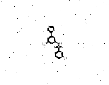 O=S(=O)(Nc1cc(-c2cnco2)cc(C(F)(F)F)c1)c1cccc(Cl)c1